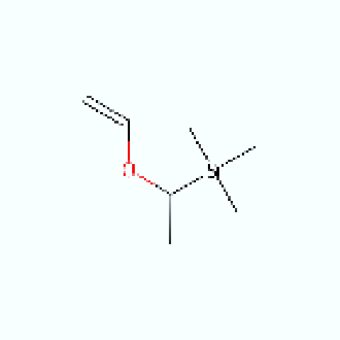 C=COC(C)[Si](C)(C)C